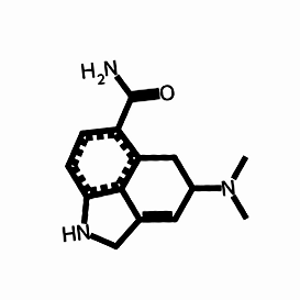 CN(C)C1C=C2CNc3ccc(C(N)=O)c(c32)C1